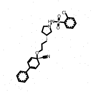 N#C[C@]1(OCCC[C@@H]2CCN(NS(=O)(=O)c3ccccc3Cl)C2)C=CC(c2ccccc2)=CC1